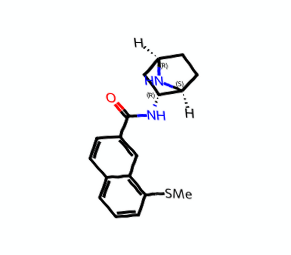 CSc1cccc2ccc(C(=O)N[C@@H]3C[C@H]4CC[C@@H]3N4)cc12